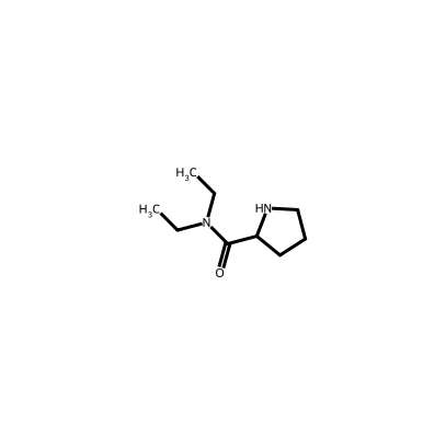 CCN(CC)C(=O)C1CCCN1